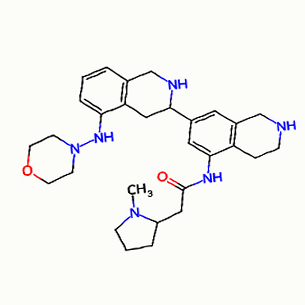 CN1CCCC1CC(=O)Nc1cc(C2Cc3c(cccc3NN3CCOCC3)CN2)cc2c1CCNC2